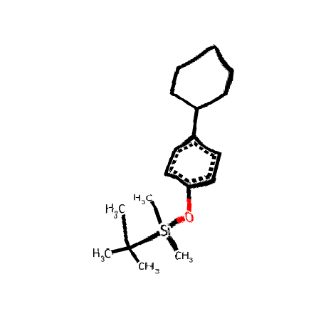 CC(C)(C)[Si](C)(C)Oc1ccc(C2CC[CH]CC2)cc1